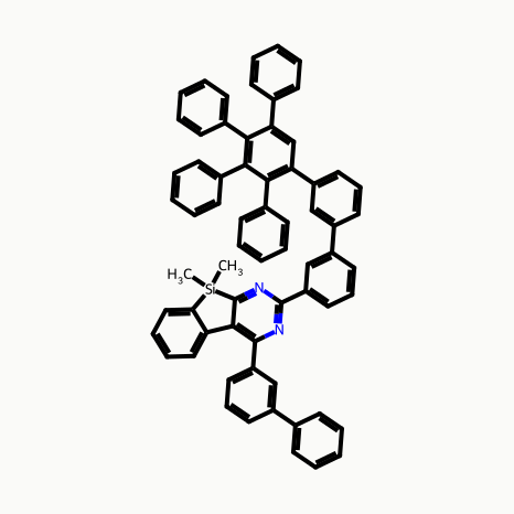 C[Si]1(C)c2ccccc2-c2c(-c3cccc(-c4ccccc4)c3)nc(-c3cccc(-c4cccc(-c5cc(-c6ccccc6)c(-c6ccccc6)c(-c6ccccc6)c5-c5ccccc5)c4)c3)nc21